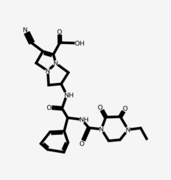 CCN1CCN(C(=O)NC(C(=O)NC2CN3CC(C#N)=C(C(=O)O)N3C2)c2ccccc2)C(=O)C1=O